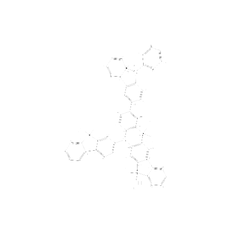 CC1(C)c2ccccc2-c2ccc(N3c4ccc(-c5ccc6c(c5)C5C=CC=CC5(C)N6c5ccccc5)cc4C(C)(C)c4cc5c(cc43)C(C)(C)c3ccccc3-5)cc21